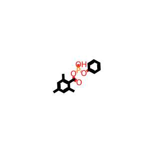 Cc1cc(C)c(C(=O)OP(O)Oc2ccccc2)c(C)c1